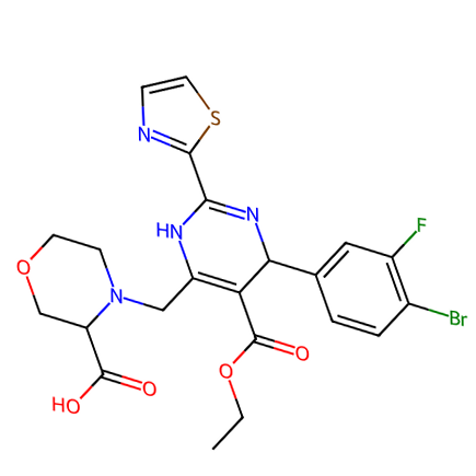 CCOC(=O)C1=C(CN2CCOCC2C(=O)O)NC(c2nccs2)=NC1c1ccc(Br)c(F)c1